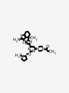 C=CC(=O)N1CCN(c2cc(-c3noc([C@@]4(C)CCCc5sc(N)c(C#N)c54)n3)nc(OC[C@@H]3CCCN3C)n2)CC1